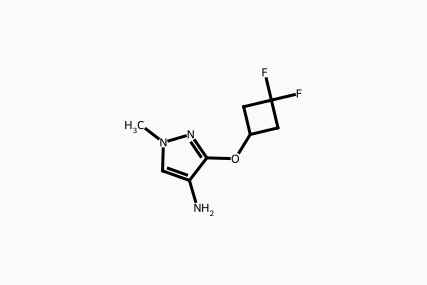 Cn1cc(N)c(OC2CC(F)(F)C2)n1